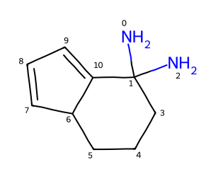 NC1(N)CCCC2C=CC=C21